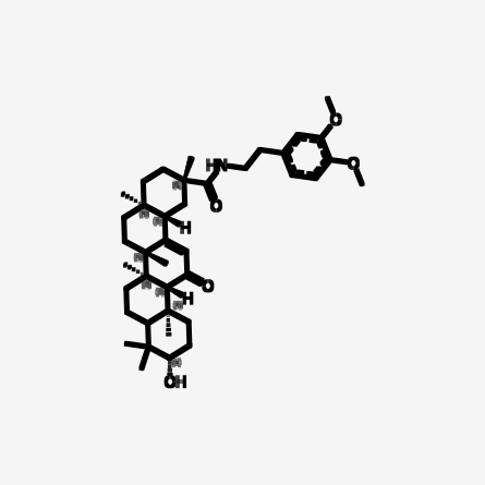 COc1ccc(CCNC(=O)[C@@]2(C)CC[C@]3(C)CC[C@]4(C)C(=CC(=O)[C@@H]5[C@@]6(C)CC[C@H](O)C(C)(C)C6CC[C@]54C)[C@H]3C2)cc1OC